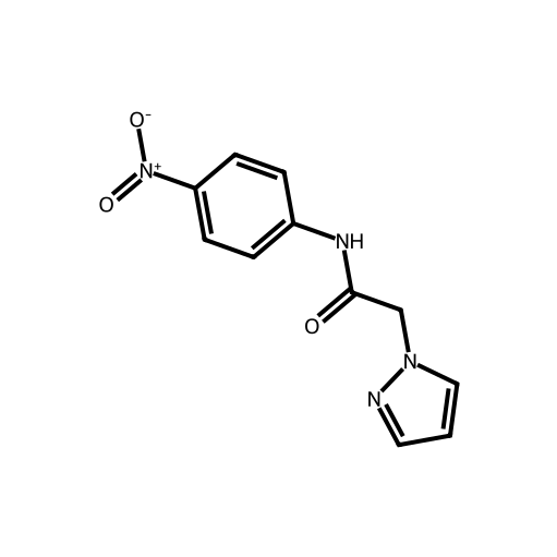 O=C(Cn1cccn1)Nc1ccc([N+](=O)[O-])cc1